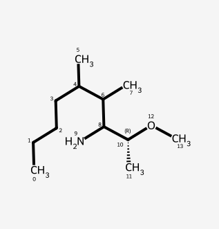 CCCCC(C)C(C)C(N)[C@@H](C)OC